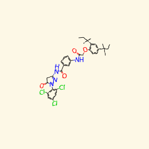 CCC(C)(C)c1ccc(OCC(=O)Nc2cccc(C(=O)NC3=NN(c4c(Cl)cc(Cl)cc4Cl)C(=O)C3)c2)c(C(C)(C)CC)c1